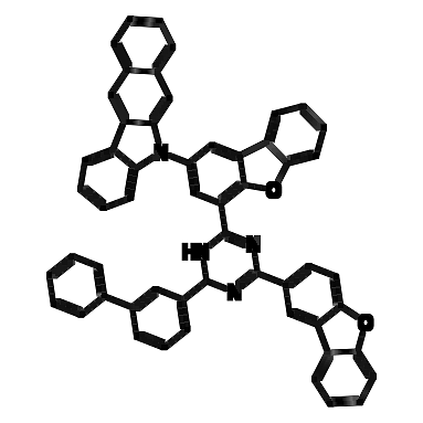 c1ccc(-c2cccc(C3N=C(c4ccc5oc6ccccc6c5c4)N=C(c4cc(-n5c6ccccc6c6cc7ccccc7cc65)cc5c4oc4ccccc45)N3)c2)cc1